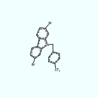 FC(F)(F)c1ccc(Cn2c3cc(Br)ccc3c3ccc(Br)cc32)cc1